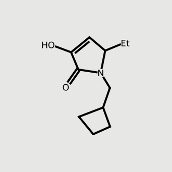 CCC1C=C(O)C(=O)N1CC1CCC1